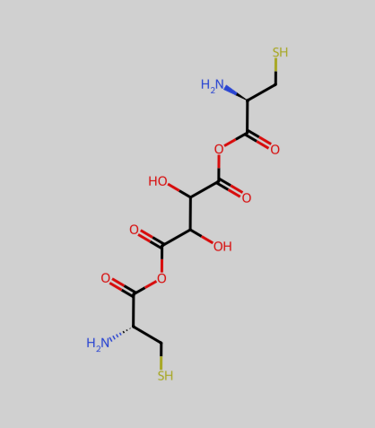 N[C@@H](CS)C(=O)OC(=O)C(O)C(O)C(=O)OC(=O)[C@@H](N)CS